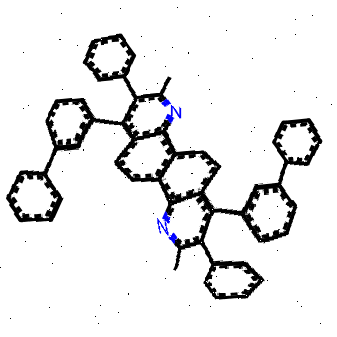 Cc1nc2c(ccc3c2ccc2c(-c4cccc(-c5ccccc5)c4)c(-c4ccccc4)c(C)nc23)c(-c2cccc(-c3ccccc3)c2)c1-c1ccccc1